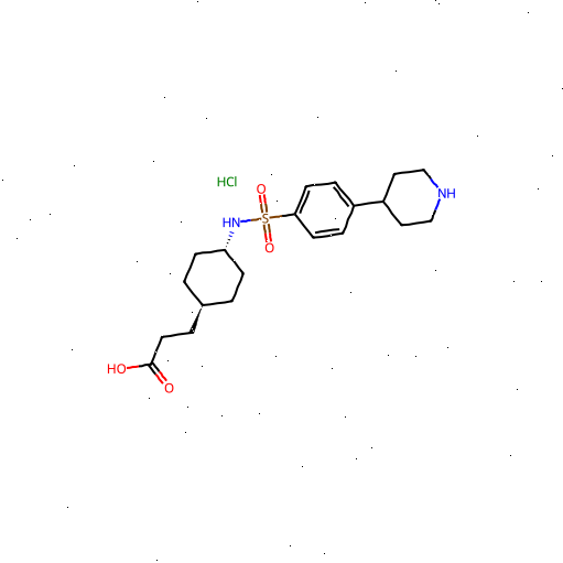 Cl.O=C(O)CC[C@H]1CC[C@H](NS(=O)(=O)c2ccc(C3CCNCC3)cc2)CC1